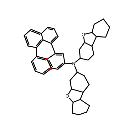 c1ccc(-c2cccc3cccc(-c4cccc(N(C5CCC6C(C5)OC5CCCCC56)C5CCC6C(C5)OC5CCCCC56)c4)c23)cc1